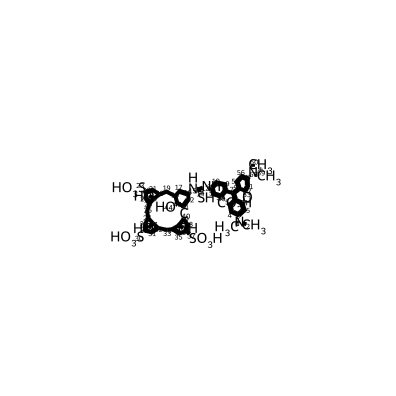 CN(C)c1ccc2c(-c3ccc(NC(S)NC4=CC5CC6C=C(S(=O)(=O)O)C=C(CC7C=C(S(=O)(=O)O)C=C(CC8=CC(S(=O)(=O)O)=CC(CC(=C4)C5O)C8O)C7O)C6O)cc3C(=O)O)c3ccc(=[N+](C)C)cc-3oc2c1